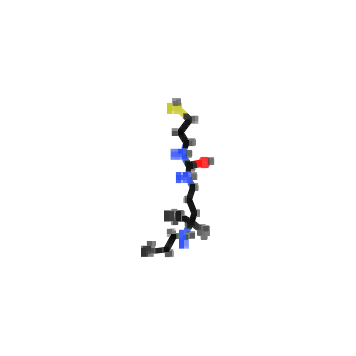 CCC(C)(CCCNC(=O)NCCCS)NCCC(C)C